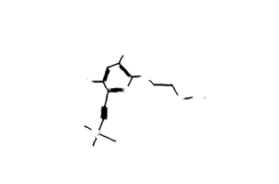 CCCCCOCCOc1nc(C#C[Si](C)(C)C)c(N)cc1Cl